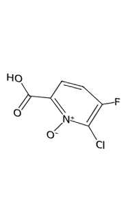 O=C(O)c1ccc(F)c(Cl)[n+]1[O-]